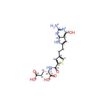 Nc1nc(O)c2cc(CCc3csc(C(=O)N[C@@H](CCC(=O)O)C(=O)O)c3)[nH]c2n1